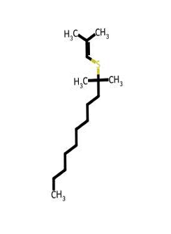 CCCCCCCCCC(C)(C)SC=C(C)C